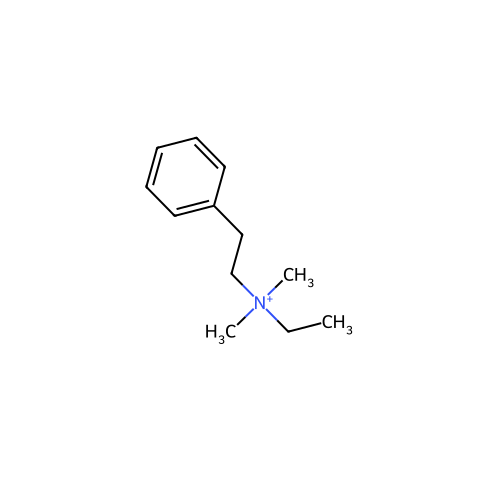 CC[N+](C)(C)CCc1ccccc1